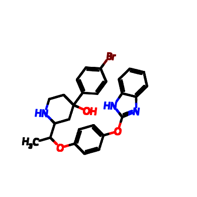 CC(Oc1ccc(Oc2nc3ccccc3[nH]2)cc1)C1CC(O)(c2ccc(Br)cc2)CCN1